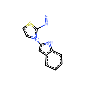 [N]=Nc1scc[n+]1-c1cc2ccccc2[nH]1